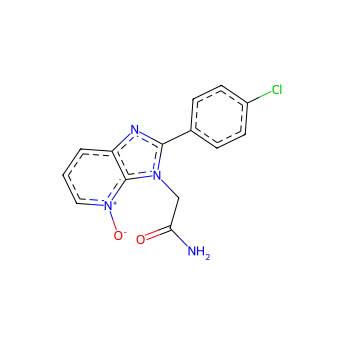 NC(=O)Cn1c(-c2ccc(Cl)cc2)nc2ccc[n+]([O-])c21